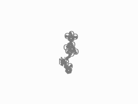 COc1ccccc1C=Nn1c(C)nnc1SCCCOc1c(OC)cc2oc(-c3cc(OC)c(OC)c(OC)c3)cc(=O)c2c1OC